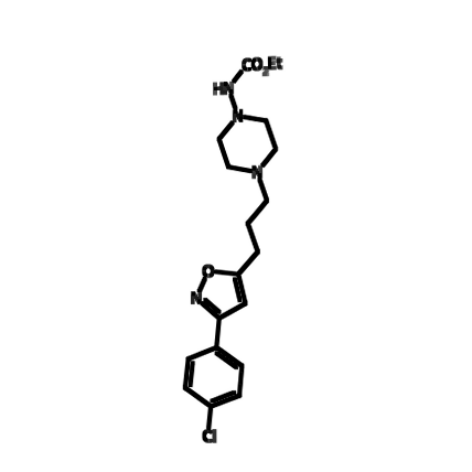 CCOC(=O)NN1CCN(CCCc2cc(-c3ccc(Cl)cc3)no2)CC1